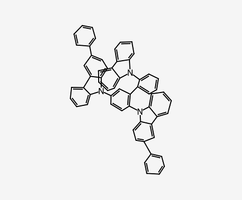 c1ccc(-c2ccc3c(c2)c2ccccc2n3-c2ccc(-n3c4ccccc4c4cc(-c5ccccc5)ccc43)c(-c3ccccc3-n3c4ccccc4c4ccccc43)c2)cc1